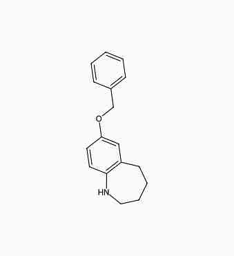 c1ccc(COc2ccc3c(c2)CCCCN3)cc1